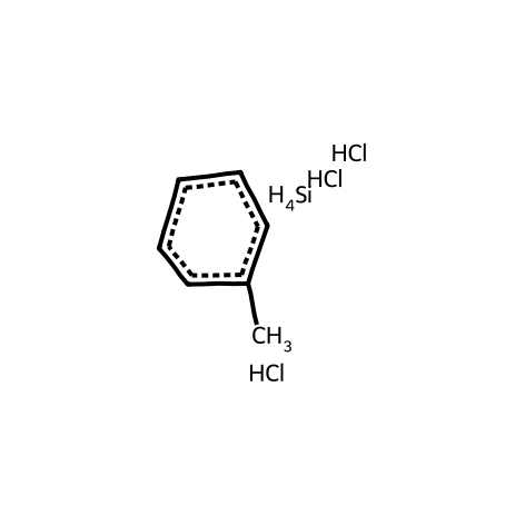 Cc1ccccc1.Cl.Cl.Cl.[SiH4]